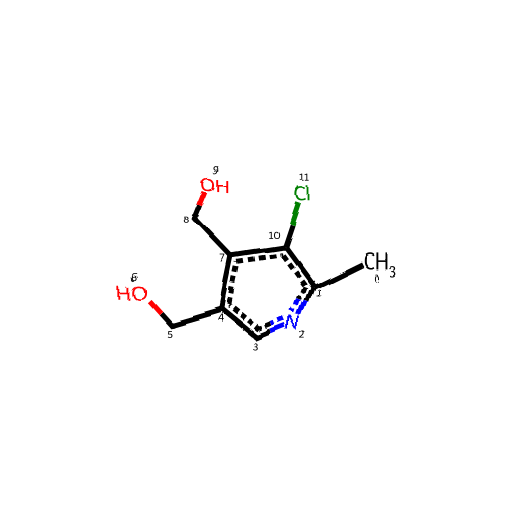 Cc1ncc(CO)c(CO)c1Cl